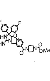 COC(=O)N1CCN(C(=O)c2ccnc(CN3C(=N)NC(c4ccc(F)cc4)(c4ccc(F)cc4)C3=O)c2)CC1